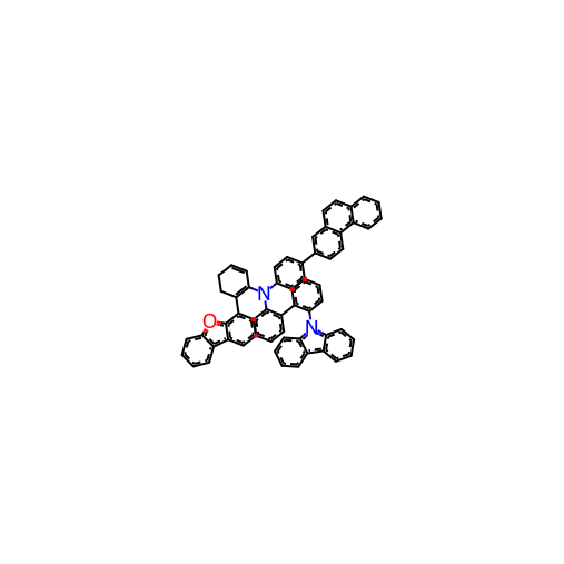 C1=CC(N(c2ccc(-c3ccc4c(ccc5ccccc54)c3)cc2)c2ccccc2-c2ccccc2-n2c3ccccc3c3ccccc32)=C(c2cccc3c2oc2ccccc23)CC1